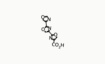 O=C(O)c1coc(-c2coc(-c3cocn3)n2)n1